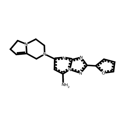 Nc1cc(N2CCN3CCC=C3C2)nc2nc(-c3ccco3)nn12